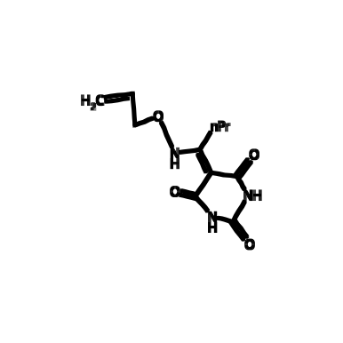 C=CCONC(CCC)=C1C(=O)NC(=O)NC1=O